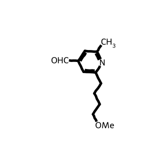 COCCCCc1cc(C=O)cc(C)n1